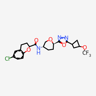 O=C(N[C@H]1CC[C@H](c2nnc(C3CC(OC(F)(F)F)C3)o2)OC1)C1CCc2cc(Cl)ccc2O1